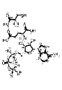 N[C@@H](CCC(=O)O)C(=O)O.N[C@@H](CS)C(=O)O.Nc1ncnc2c1ncn2[C@@H]1O[C@H](COP(=O)(O)OP(=O)(O)OP(=O)(O)O)[C@@H](O)[C@H]1O